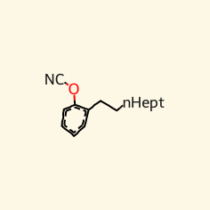 CCCCCCCCCc1ccccc1OC#N